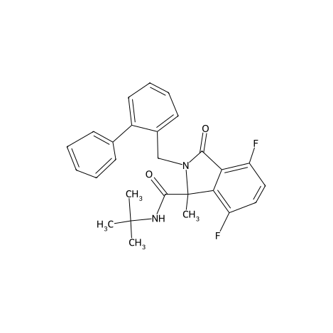 CC(C)(C)NC(=O)C1(C)c2c(F)ccc(F)c2C(=O)N1Cc1ccccc1-c1ccccc1